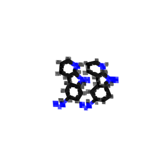 Nc1ccc2[nH]c3ncccc3c2c1.Nc1ccc2[nH]c3ncccc3c2c1